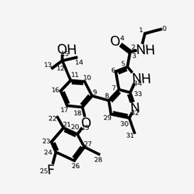 CCNC(=O)c1cc2c(-c3cc(C(C)(C)O)ccc3Oc3c(C)cc(F)cc3C)cc(C)nc2[nH]1